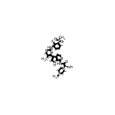 CCC[C@H](C(=O)Nc1nccc2c(-c3nc(Nc4cccc(S(C)(=O)=O)c4F)ncc3C)c[nH]c12)N1CCN(C)CC1